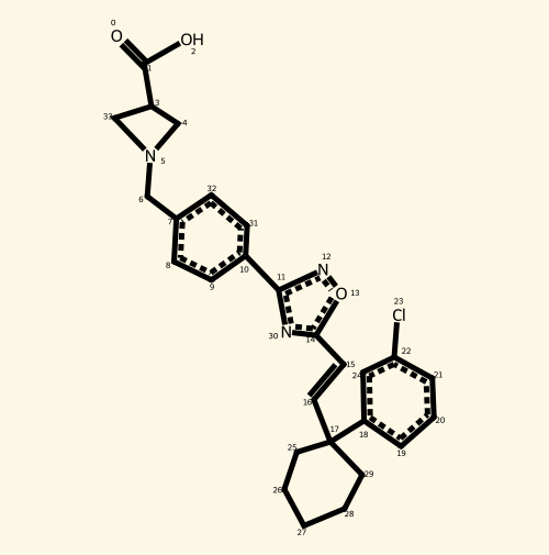 O=C(O)C1CN(Cc2ccc(-c3noc(C=CC4(c5cccc(Cl)c5)CCCCC4)n3)cc2)C1